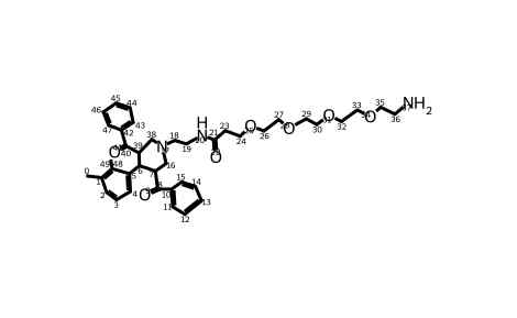 Cc1cccc(C2C(C(=O)c3ccccc3)CN(CCNC(=O)CCOCCOCCOCCOCCN)CC2C(=O)c2ccccc2)c1C